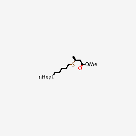 C=C(CC(=O)OC)SCCCCCCCCCCCC